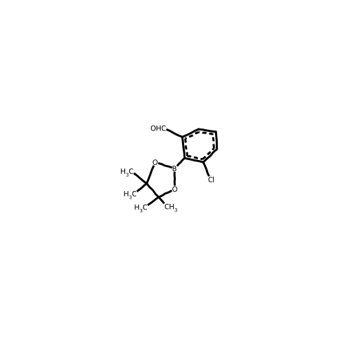 CC1(C)OB(c2c(Cl)cccc2C=O)OC1(C)C